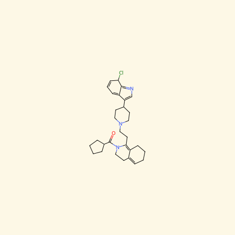 O=C(C1CCCC1)N1CCC2=CCCCC2=C1CCN1CCC(C2=CN=C3C2=CC=CC3Cl)CC1